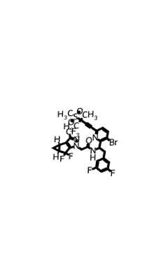 CC(C)(C#Cc1ccc(Br)c(C(Cc2cc(F)cc(F)c2)NC(=O)Cn2nc(C(F)(F)F)c3c2C(F)(F)[C@@H]2C[C@H]32)n1)S(C)(=O)=O